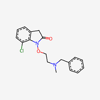 CN(CCON1C(=O)Cc2cccc(Cl)c21)Cc1ccccc1